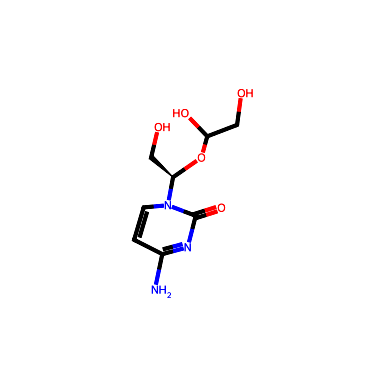 Nc1ccn([C@@H](CO)OC(O)CO)c(=O)n1